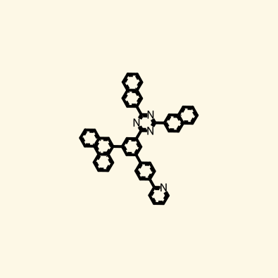 c1ccc(-c2ccc(-c3cc(-c4nc(-c5ccc6ccccc6c5)nc(-c5ccc6ccccc6c5)n4)cc(-c4cc5ccccc5c5ccccc45)c3)cc2)nc1